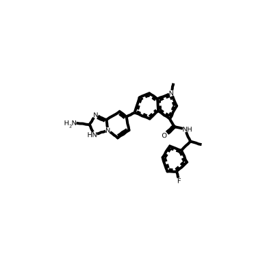 CC(NC(=O)c1cn(C)c2ccc(C3=CC4=NC(N)NN4C=C3)cc12)c1cccc(F)c1